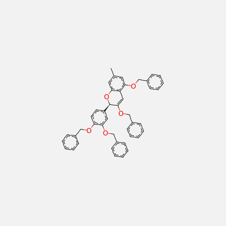 Cc1cc(OCc2ccccc2)c2c(c1)O[C@H](c1ccc(OCc3ccccc3)c(OCc3ccccc3)c1)C(OCc1ccccc1)=C2